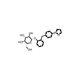 OC[C@H]1S[C@@H](Oc2ccccc2Cc2ccc(-n3cccn3)cc2)[C@H](O)[C@@H](O)[C@@H]1O